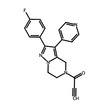 C#CC(=O)N1CCn2nc(-c3ccc(F)cc3)c(-c3ccncc3)c2C1